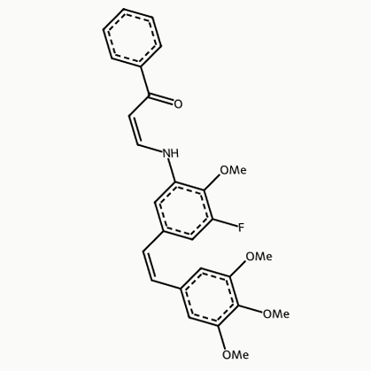 COc1cc(/C=C\c2cc(F)c(OC)c(N/C=C\C(=O)c3ccccc3)c2)cc(OC)c1OC